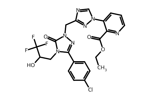 CCOC(=O)c1ncccc1-n1cnc(Cn2nc(-c3ccc(Cl)cc3)n(CC(O)C(F)(F)F)c2=O)n1